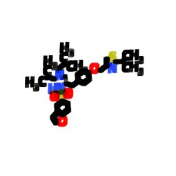 CC(C)CN(CC(C)C)C[C@H](Cc1ccc(OCc2csc(C(C)C)n2)cc1)NS(=O)(=O)c1ccc2occc2c1